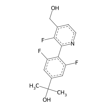 CC(C)(O)c1cc(F)c(-c2nccc(CO)c2F)c(F)c1